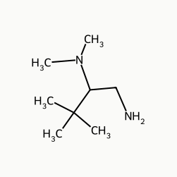 CN(C)C(CN)C(C)(C)C